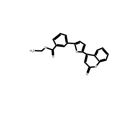 CCOC(=O)c1cccc(-c2ccc(-c3cc(=O)oc4ccccc34)o2)c1